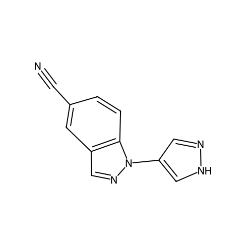 N#Cc1ccc2c(cnn2-c2cn[nH]c2)c1